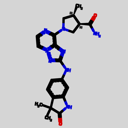 C[C@H]1CN(c2nccn3nc(Nc4ccc5c(c4)NC(=O)C5(C)C)nc23)C[C@@H]1C(N)=O